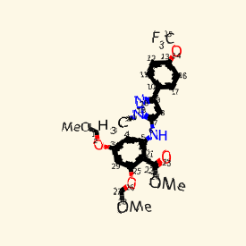 COCOc1cc(Nc2cc(-c3ccc(OC(F)(F)F)cc3)nn2C)c(C(=O)OC)c(OCOC)c1